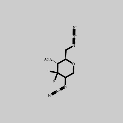 CC(=O)O[C@@H]1[C@@H](CN=[N+]=[N-])OCC(N=[N+]=[N-])C1(F)F